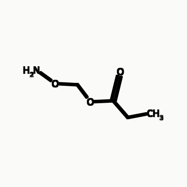 CCC(=O)OCON